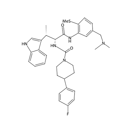 CSc1ccc(CN(C)C)cc1NC(=O)[C@H](NC(=O)N1CCC(c2ccc(F)cc2)CC1)[C@@H](C)c1c[nH]c2ccccc12